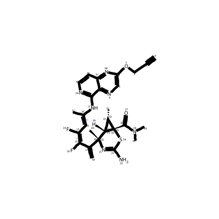 C#CCOc1cnc2c(N/C(C)=C/C(F)=C(/F)C(=C)[C@@]3(C)N=C(N)S[C@]4(C(=O)N(C)C)[C@H]3[C@@H]4C)nccc2n1